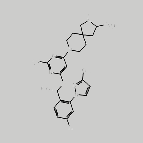 Cc1ccn(-c2cc(Br)ccc2[C@@H](Oc2cc(N3CCC4(CC3)CNC(C(=O)O)C4)nc(N)n2)C(F)(F)F)n1